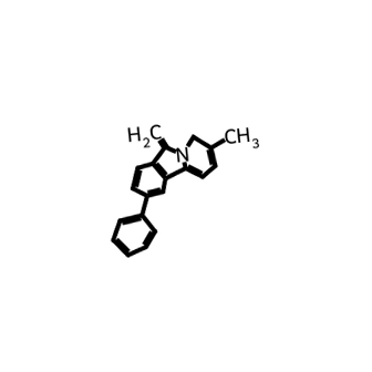 C=c1c2ccc(-c3ccccc3)cc2c2n1CC(C)=CC=2